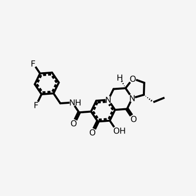 CC[C@H]1CO[C@@H]2Cn3cc(C(=O)NCc4ccc(F)cc4F)c(=O)c(O)c3C(=O)N12